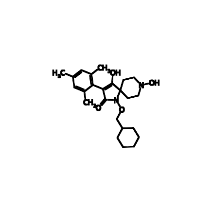 Cc1cc(C)c(C2=C(O)C3(CCN(O)CC3)N(OCC3CCCCC3)C2=O)c(C)c1